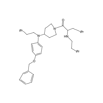 CC(C)CCNC(CC(C)C)C(=O)N1CCC(N(CCC(C)C)c2ccc(OCc3ccccc3)cc2)CC1